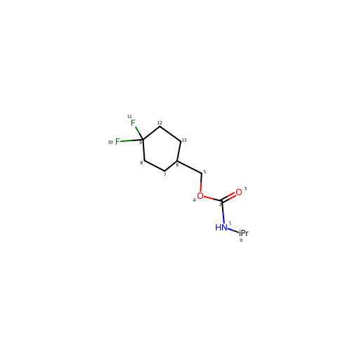 CC(C)NC(=O)OCC1CCC(F)(F)CC1